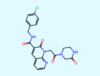 O=C1CN(C(=O)Cn2c(=O)c(C(=O)NCc3ccc(Cl)cc3)cc3cccnc32)CCN1